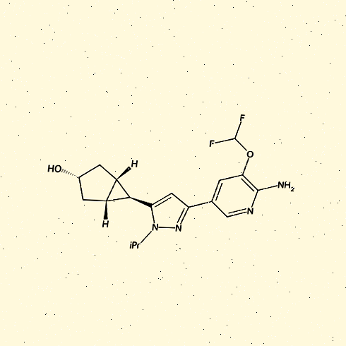 CC(C)n1nc(-c2cnc(N)c(OC(F)F)c2)cc1[C@H]1[C@@H]2C[C@H](O)C[C@@H]21